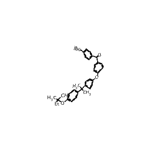 CCC(C)c1ccc(C(=O)c2ccc(Oc3ccc(C(C)(C)c4ccc(OC(C)(C)CC)cc4)cc3)cc2)cc1